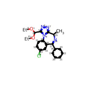 CCOC(OCC)c1nnc2n1-c1ccc(Cl)cc1C(c1ccccc1)=NC2C